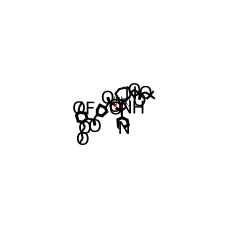 COCOc1ccc(OC)c(F)c1C(=O)c1ccc(C(=O)O[C@@H]2CCCN(OC(=O)OC(C)(C)C)C[C@H]2NC(=O)c2ccncc2)cc1